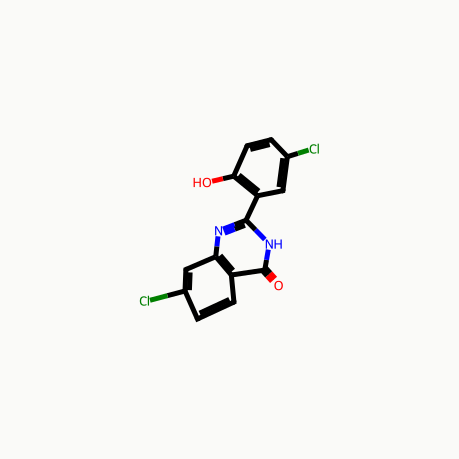 O=c1[nH]c(-c2cc(Cl)ccc2O)nc2cc(Cl)ccc12